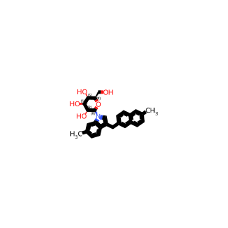 Cc1ccc2cc(Cc3cn([C@@H]4O[C@H](CO)[C@@H](O)[C@H](O)[C@H]4O)c4cc(C)ccc34)ccc2c1